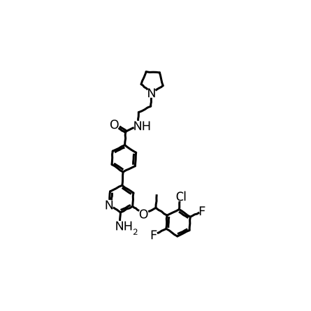 CC(Oc1cc(-c2ccc(C(=O)NCCN3CCCC3)cc2)cnc1N)c1c(F)ccc(F)c1Cl